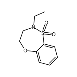 CCN1CCOc2ccccc2S1(=O)=O